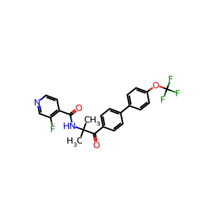 CC(C)(NC(=O)c1ccncc1F)C(=O)c1ccc(-c2ccc(OC(F)(F)F)cc2)cc1